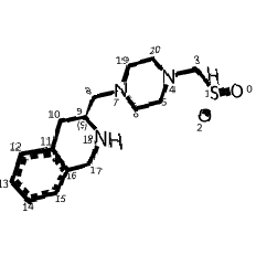 O=[SH](=O)CN1CCN(C[C@@H]2Cc3ccccc3CN2)CC1